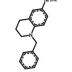 CC(=O)Nc1ccc2c(c1)CCCN2Cc1ccccc1